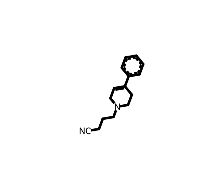 N#CCCCN1CC=C(c2ccccc2)CC1